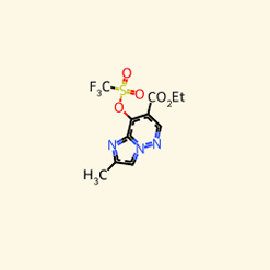 CCOC(=O)c1cnn2cc(C)nc2c1OS(=O)(=O)C(F)(F)F